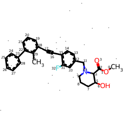 COC(=O)C1C(O)CCCN1Cc1ccc(C#Cc2cccc(-c3ccccc3)c2C)c(F)c1